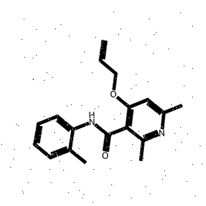 C=CCOc1cc(C)nc(C)c1C(=O)Nc1ccccc1C